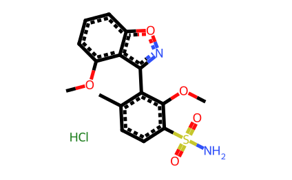 COc1c(S(N)(=O)=O)ccc(C)c1-c1noc2cccc(OC)c12.Cl